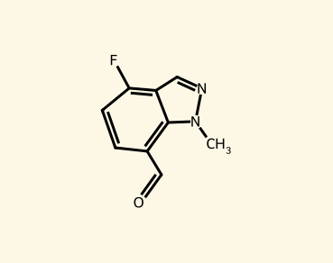 Cn1ncc2c(F)ccc(C=O)c21